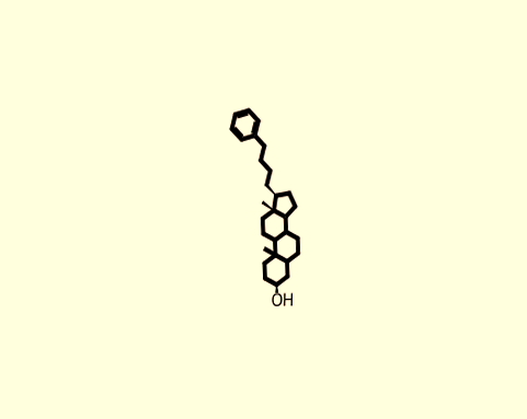 CC12CC[C@H](O)CC1CCC1C2CC[C@@]2(C)C1CC[C@@H]2CCCCc1ccccc1